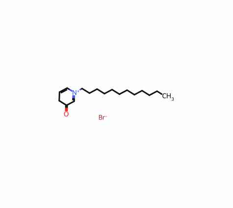 CCCCCCCCCCCC[N+]1=CC(=O)CC=C1.[Br-]